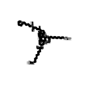 CCCCCCCCCCCCCCCCCC(=O)O[C@@H]1CC[C@@]2(C)[C@@H](C1)[C@@H](CC)[C@@H](OC(=O)CCCCCCCCCCCCCCCCC)[C@@H]1[C@@H]2CC[C@]2(C)[C@@H]([C@H](C)CCC(=O)NCCCCN3CCCC3)CC[C@@H]12